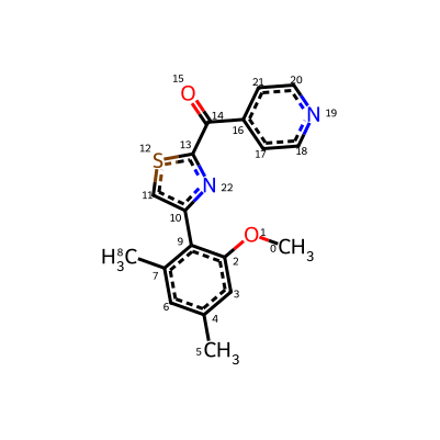 COc1cc(C)cc(C)c1-c1csc(C(=O)c2ccncc2)n1